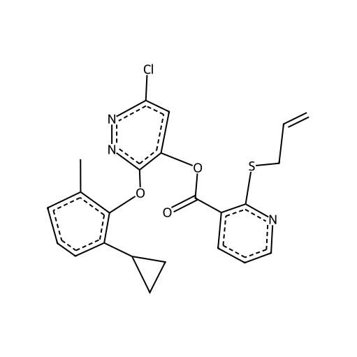 C=CCSc1ncccc1C(=O)Oc1cc(Cl)nnc1Oc1c(C)cccc1C1CC1